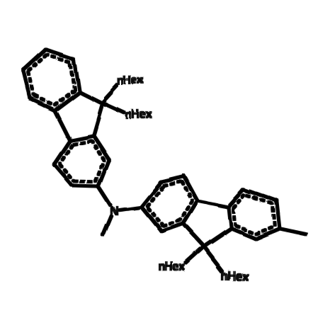 CCCCCCC1(CCCCCC)c2ccccc2-c2ccc(N(C)c3ccc4c(c3)C(CCCCCC)(CCCCCC)c3cc(C)ccc3-4)cc21